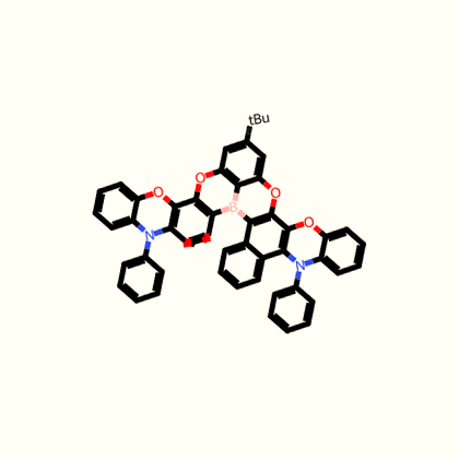 CC(C)(C)c1cc2c3c(c1)Oc1c4c(c5ccccc5c1B3c1c(c3c(c5ccccc15)N(c1ccccc1)c1ccccc1O3)O2)N(c1ccccc1)c1ccccc1O4